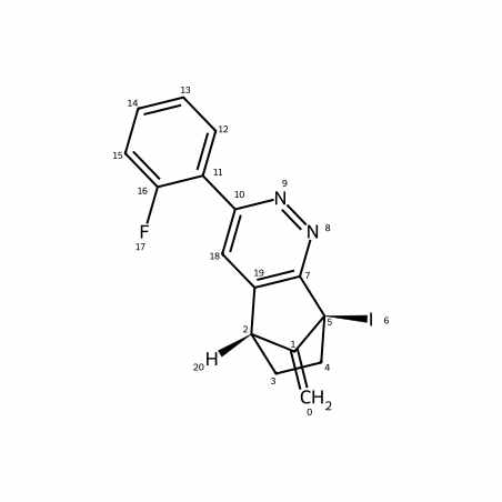 C=C1[C@@H]2CC[C@@]1(I)c1nnc(-c3ccccc3F)cc12